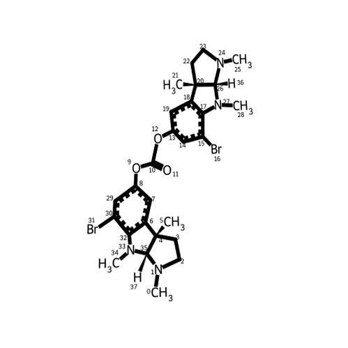 CN1CC[C@@]2(C)c3cc(OC(=O)Oc4cc(Br)c5c(c4)[C@]4(C)CCN(C)[C@@H]4N5C)cc(Br)c3N(C)[C@@H]12